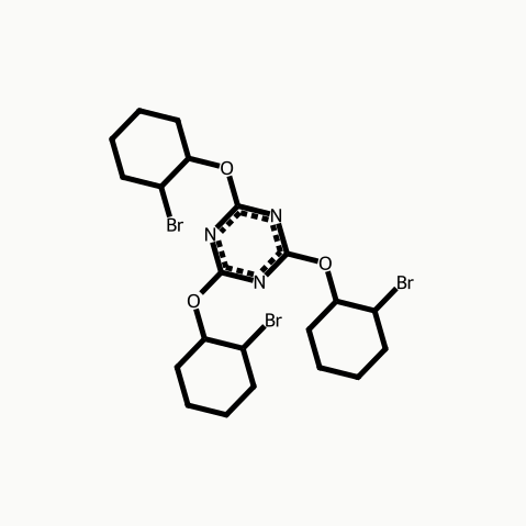 BrC1CCCCC1Oc1nc(OC2CCCCC2Br)nc(OC2CCCCC2Br)n1